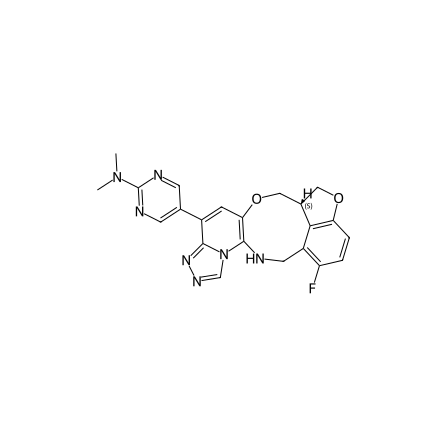 CN(C)c1ncc(-c2cc3c(n4cnnc24)NCc2c(F)ccc4c2[C@@H](CO4)CO3)cn1